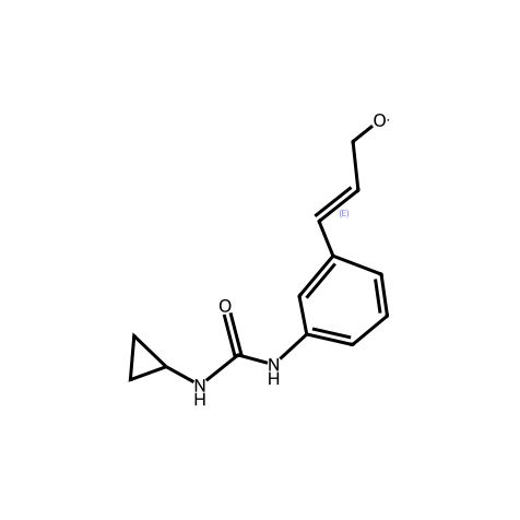 [O]C/C=C/c1cccc(NC(=O)NC2CC2)c1